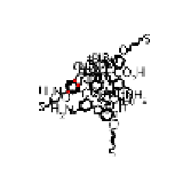 CC(C)(C)OC(=O)[C@](Cc1ccc(OCC=CC=S)cc1)(C(N)=O)N(c1cc(N(c2ccc(CN)cc2C(=O)O)[C@@](Cc2ccc(OCC=CC=S)cc2)(C(N)=O)C(=O)OC(C)(C)C)cc(N(c2ccc(CN)cc2C(=O)O)[C@@](Cc2ccc(OCC=CC=S)cc2)(C(N)=O)C(=O)OC(C)(C)C)c1)c1ccc(CN)cc1C(=O)O